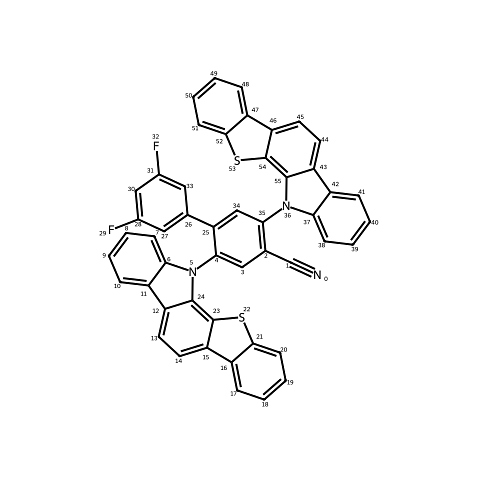 N#Cc1cc(-n2c3ccccc3c3ccc4c5ccccc5sc4c32)c(-c2cc(F)cc(F)c2)cc1-n1c2ccccc2c2ccc3c4ccccc4sc3c21